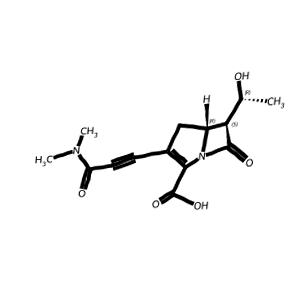 C[C@@H](O)[C@H]1C(=O)N2C(C(=O)O)=C(C#CC(=O)N(C)C)C[C@H]12